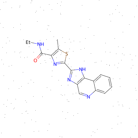 CCNC(=O)c1nc(-c2nc3cnc4ccccc4c3[nH]2)sc1C